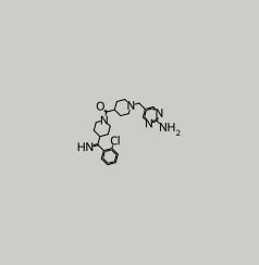 N=C(c1ccccc1Cl)C1CCN(C(=O)C2CCN(Cc3cnc(N)nc3)CC2)CC1